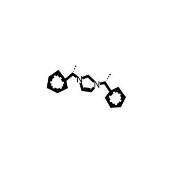 C[C@H](c1ccccc1)N1C=CN([C@@H](C)c2ccccc2)C1